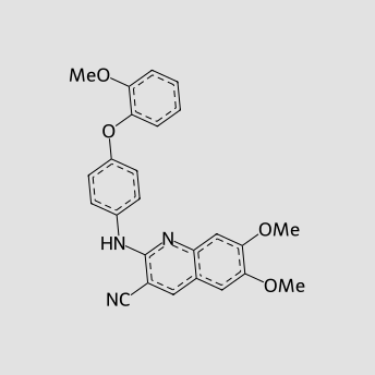 COc1cc2cc(C#N)c(Nc3ccc(Oc4ccccc4OC)cc3)nc2cc1OC